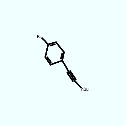 CCCCC#Cc1ccc(Br)cc1